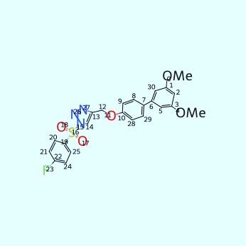 COc1cc(OC)cc(-c2ccc(OCc3cn(S(=O)(=O)c4ccc(F)cc4)nn3)cc2)c1